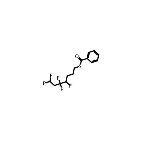 O=C(SCCCC(F)C(F)(F)CC(F)F)c1ccccc1